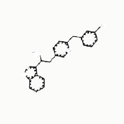 CC(C)c1cccc(Cc2ccc(CC(C)c3noc4ccccc34)cn2)c1